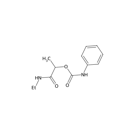 CCNC(=O)C(C)OC(=O)Nc1ccccc1